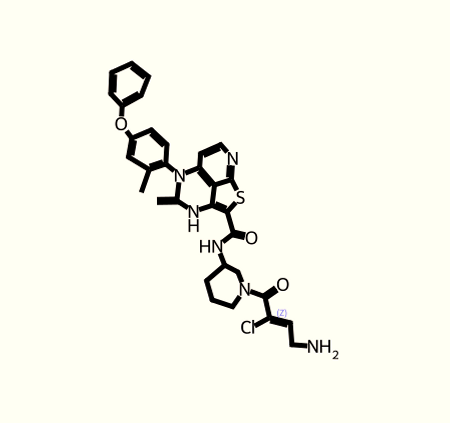 C=c1[nH]c2c(C(=O)NC3CCCN(C(=O)/C(Cl)=C/CN)C3)sc3nccc(c32)n1-c1ccc(Oc2ccccc2)cc1C